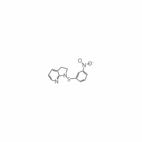 O=[N+]([O-])c1cccc(SN2CCc3cccnc32)c1